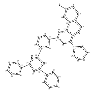 Cc1ccc2ccc3c(-c4ccccc4)cc(-c4cccc(-c5nc(-c6ccccc6)nc(-c6ccccn6)n5)c4)nc3c2n1